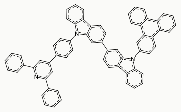 c1ccc(-c2cc(-c3ccc(-n4c5ccccc5c5ccc(-c6ccc7c8ccccc8n(-c8ccc9c%10ccccc%10c%10ccccc%10c9c8)c7c6)cc54)cc3)cc(-c3ccccc3)n2)cc1